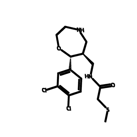 CSCC(=O)NC[C@@H]1CNCCO[C@H]1c1ccc(Cl)c(Cl)c1